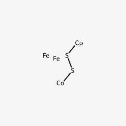 [Co][S][S][Co].[Fe].[Fe]